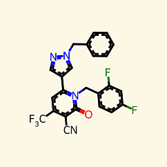 N#Cc1c(C(F)(F)F)cc(-c2cnn(Cc3ccccc3)c2)n(Cc2ccc(F)cc2F)c1=O